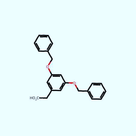 O=C(O)Cc1cc(OCc2ccccc2)cc(OCc2ccccc2)c1